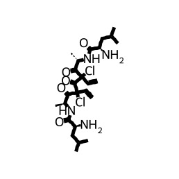 C=CC(Cl)(C(=O)[C@H](C)NC(=O)[C@@H](N)CC(C)C)C(=O)C(Cl)(C=C)C(=O)[C@H](C)NC(=O)[C@@H](N)CC(C)C